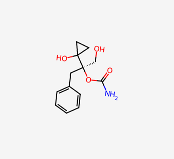 NC(=O)O[C@@](CO)(Cc1ccccc1)C1(O)CC1